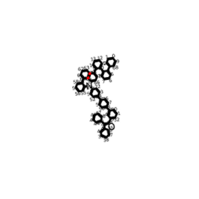 c1ccc(-c2ccccc2-c2ccccc2-c2ccc(N(c3ccc(-c4ccc(-c5cccc(-c6oc7ccccc7c6-c6ccccc6)c5)cc4)cc3)c3ccccc3-c3ccccc3)cc2)cc1